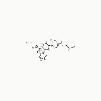 CCCCCC1CCC(c2ccc(C(=O)OCCC)c(-c3ccccc3)c2)CC1